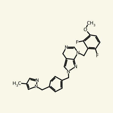 COc1ccc(F)c(CN2C=NCc3cn(Cc4ccc(Cn5cc(C)cn5)cc4)nc32)c1F